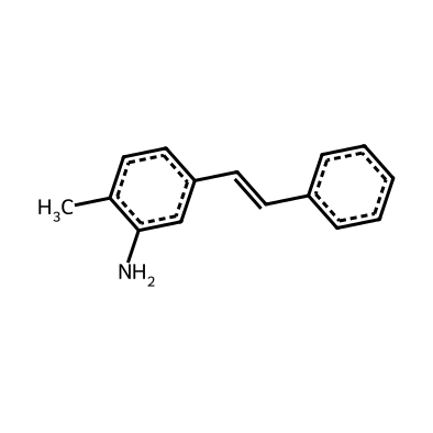 Cc1ccc(C=Cc2ccccc2)cc1N